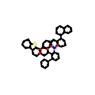 c1ccc(-c2ccccc2-c2c(-c3ccccc3)cccc2N(c2cccc(-c3cccc4ccccc34)c2)c2cccc(-c3cccc4c3sc3ccccc34)c2)cc1